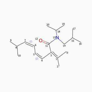 CC(C)=C(/C=C\C=C/C(C)C)C(=O)N(CC(C)C)C(C)C